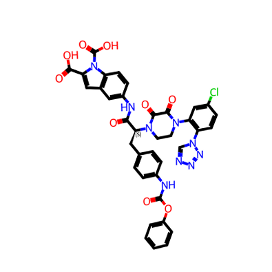 O=C(Nc1ccc(C[C@@H](C(=O)Nc2ccc3c(c2)cc(C(=O)O)n3C(=O)O)N2CCN(c3cc(Cl)ccc3-n3cnnn3)C(=O)C2=O)cc1)Oc1ccccc1